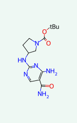 CC(C)(C)OC(=O)N1CCC(Nc2ncc(C(N)=O)c(N)n2)C1